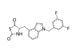 O=C1NC(Cc2cccc3c2ccn3Cc2cc(F)cc(F)c2)C(=O)S1